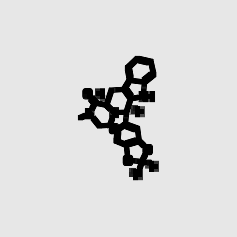 [2H]C1([2H])Oc2ccc([C@]3([2H])c4[nH]c5ccccc5c4C[C@@H]4C(=O)N(C)CC(=O)N43)cc2O1